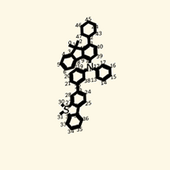 CC1(C)c2ccccc2-c2c(N(c3ccccc3)c3cccc(-c4ccc5c(c4)S(C)(C)c4ccccc4-5)c3)ccc(C3CCCCC3)c21